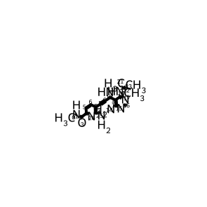 CNC(=O)c1ccc(C#CC(=N)c2c(N)ncnc2NC(C)(C)C)c(N)n1